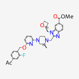 COC(=O)c1ccc2nc(CN3CCN(c4cccc(OCc5ccc(C(C)=O)cc5F)n4)C[C@@H]3C)n(C[C@@H]3CCO3)c2c1